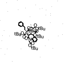 C[C@@H](OC(=O)[C@H](CCc1ccccc1)N(C(=O)OC(C)(C)C)[C@@H]1CCc2ccccc2N(CC(=O)OC(C)(C)C)C1=O)[C@H](NC(=O)OC(C)(C)C)C(=O)OC(C)(C)C